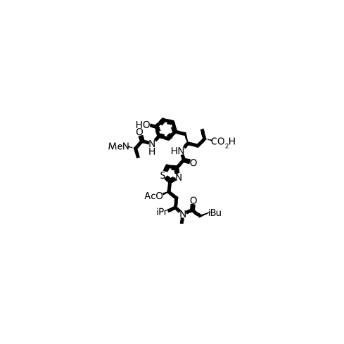 CC[C@H](C)CC(=O)N(C)C(C[C@@H](OC(C)=O)c1nc(C(=O)N[C@@H](Cc2ccc(O)c(NC(=O)[C@H](C)NC)c2)C[C@H](C)C(=O)O)cs1)C(C)C